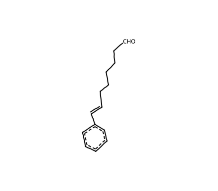 O=CCCCCCC=Cc1ccccc1